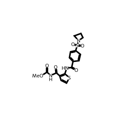 COC(=O)NC(=O)c1ccsc1NC(=O)c1ccc(S(=O)(=O)N2CCC2)cc1